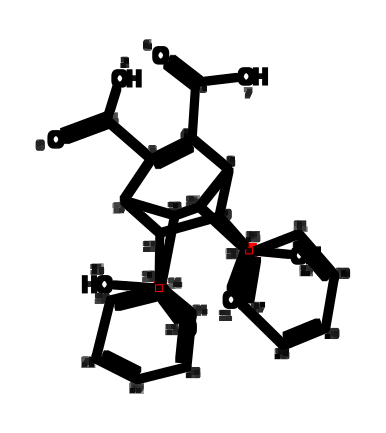 O=C(O)C1=C(C(=O)O)C2C(C(=O)O)C(C(=O)O)C1C(c1ccccc1)C2c1ccccc1